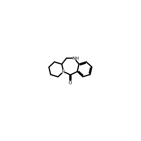 O=C1c2ccccc2NCC2CCCCN12